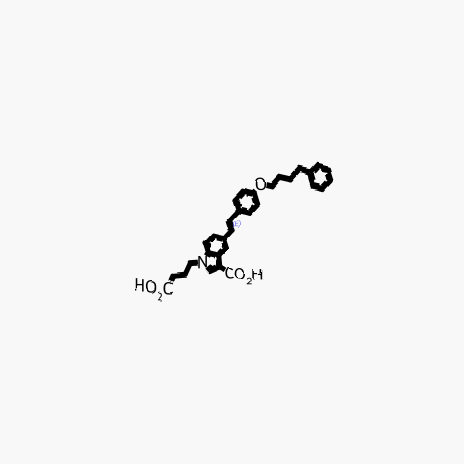 O=C(O)CCCn1cc(C(=O)O)c2cc(/C=C/c3ccc(OCCCCc4ccccc4)cc3)ccc21